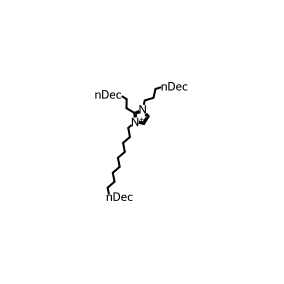 CCCCCCCCCCCCCCCCCCC[n+]1ccn(CCCCCCCCCCCCC)c1CCCCCCCCCCCC